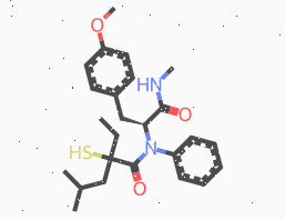 CCC(S)(CC(C)C)C(=O)N(c1ccccc1)[C@@H](Cc1ccc(OC)cc1)C(=O)NC